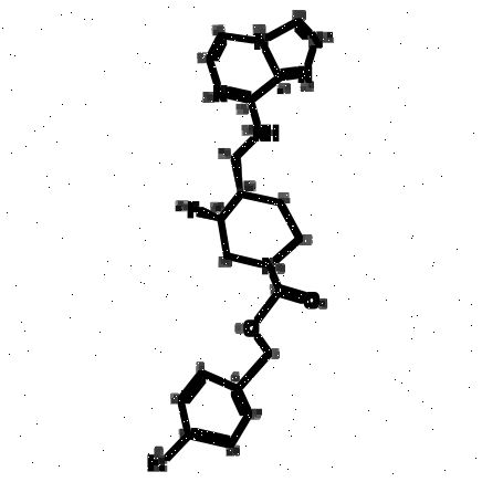 CCc1ccc(COC(=O)N2CC[C@H](CNc3nccn4cnnc34)[C@H](F)C2)cc1